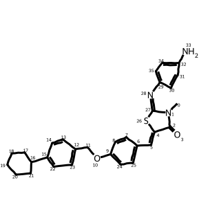 CN1C(=O)/C(=C/c2ccc(OCc3ccc(C4CCCCC4)cc3)cc2)S/C1=N/c1ccc(N)cc1